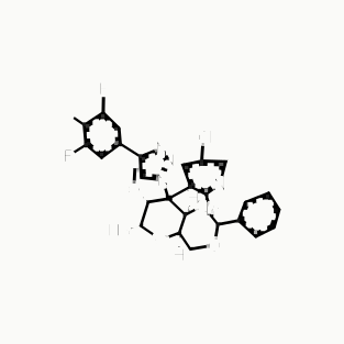 CO[C@H]1[C@@H](S)O[C@@H]2COC(c3ccccc3)O[C@@H]2C1(c1cc(Cl)cnc1Br)n1cc(-c2cc(F)c(F)c(F)c2)nn1